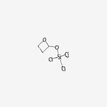 Cl[Si](Cl)(Cl)OC1CCO1